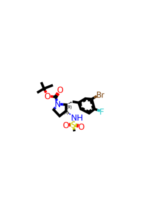 CC(C)(C)OC(=O)N1CC[C@@H](NS(C)(=O)=O)[C@H]1Cc1ccc(F)c(Br)c1